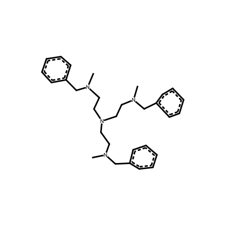 CN(CCN(CCN(C)Cc1ccccc1)CCN(C)Cc1ccccc1)Cc1ccccc1